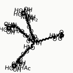 CC(=O)N[C@@H]1[C@@H](O)[C@@H](O)CO[C@@H]1C1=CN(COCCOCCOCCNC(=O)CCC(CCC(=O)NCCOCCOCCOCN/C=C(\NN)C2O[C@H](CO)[C@H](O)[C@H](O)[C@H]2NC(C)=O)(CCC(=O)NCCOCCOCCOCn2cc(C3O[C@H](CO)[C@H](O)[C@H](O)[C@H]3NC(C)=O)nn2)NC(=O)CCCCCCCCCCC(=O)NCCN2C(=O)C=CC2=O)NN1